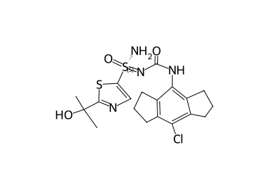 CC(C)(O)c1ncc([S@@](N)(=O)=NC(=O)Nc2c3c(c(Cl)c4c2CCC4)CCC3)s1